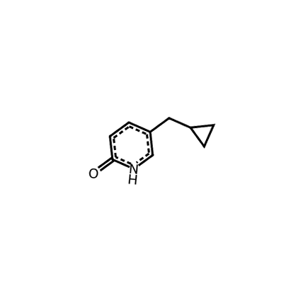 O=c1ccc(CC2CC2)c[nH]1